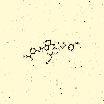 CN(c1ncnc2c1ccn2C(=O)Nc1cccc(C(=O)O)c1)[C@H]1CN(C(=O)CC#N)CC[C@H]1COC(=O)c1cccc(N)c1